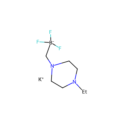 CCN1CCN(C[B-](F)(F)F)CC1.[K+]